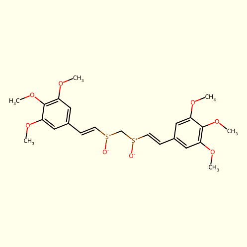 COc1cc(C=C[S+]([O-])C[S+]([O-])C=Cc2cc(OC)c(OC)c(OC)c2)cc(OC)c1OC